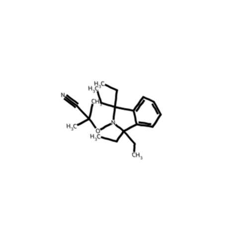 CCC1(CC)c2ccccc2C(CC)(CC)N1OC(C)(C)C#N